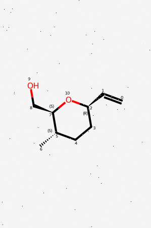 C=C[C@H]1CC[C@H](C)[C@@H](CO)O1